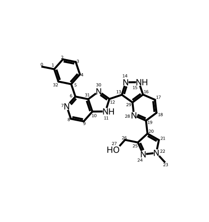 Cc1cccc(-c2nccc3[nH]c(-c4n[nH]c5ccc(-c6cn(C)nc6CO)nc45)nc23)c1